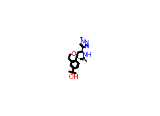 C[C@H]1C[C@@]2(C[C@@H](c3cn(C)nn3)N1)OCCc1cc(C(C)(C)O)ccc12